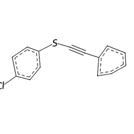 Clc1ccc(SC#Cc2ccccc2)cc1